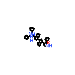 C1=C(c2ccc(-c3ccc(C4=NC(c5ccccc5)=NC(c5ccccc5)N4)c4ccccc34)c3ccccc23)c2c(oc3ccccc23)NC1